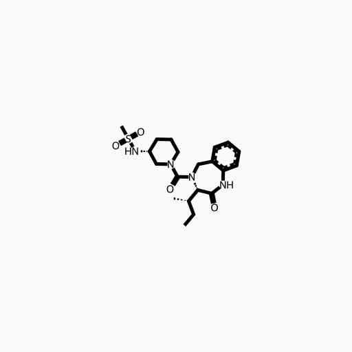 CC[C@H](C)[C@H]1C(=O)Nc2ccccc2CN1C(=O)N1CCC[C@@H](NS(C)(=O)=O)C1